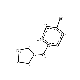 Brc1ccc(OC2CCNC2)nc1